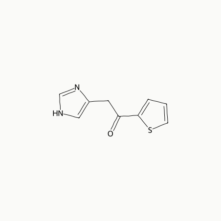 O=C(Cc1c[nH]cn1)c1cccs1